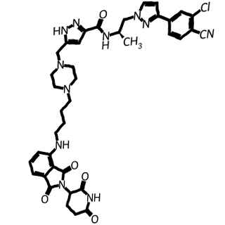 C[C@H](Cn1ccc(-c2ccc(C#N)c(Cl)c2)n1)NC(=O)c1cc(CN2CCN(CCCCNc3cccc4c3C(=O)N(C3CCC(=O)NC3=O)C4=O)CC2)[nH]n1